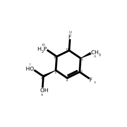 C[C@H]1C(F)=C[C@@H](C(O)O)C(P)C1F